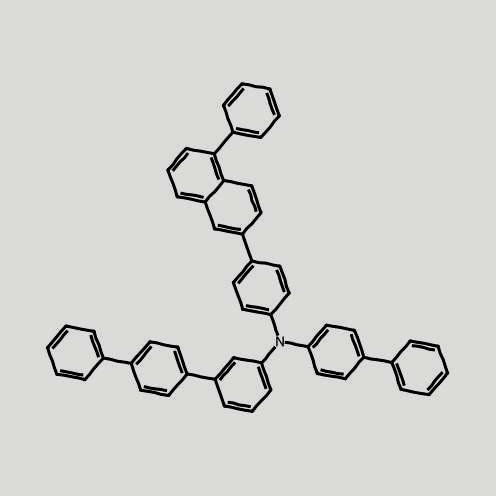 c1ccc(-c2ccc(-c3cccc(N(c4ccc(-c5ccccc5)cc4)c4ccc(-c5ccc6c(-c7ccccc7)cccc6c5)cc4)c3)cc2)cc1